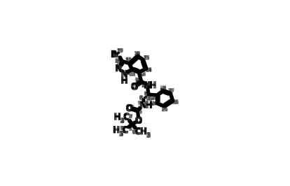 CC(C)(C)OC(=O)NC[C@H](NC(=O)c1cccc2c(Br)n[nH]c12)c1ccccc1